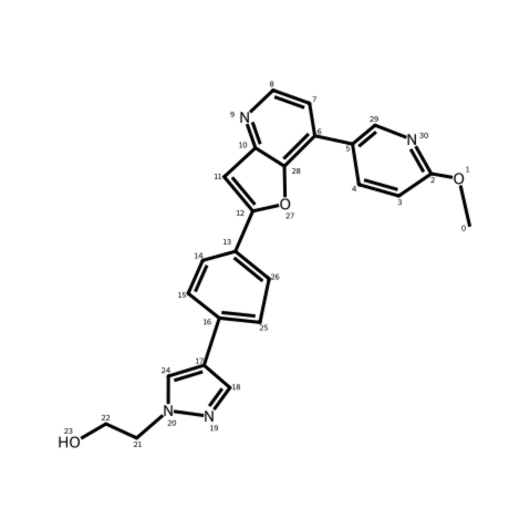 COc1ccc(-c2ccnc3cc(-c4ccc(-c5cnn(CCO)c5)cc4)oc23)cn1